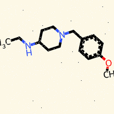 CCNC1CCN(Cc2ccc(OC)cc2)CC1